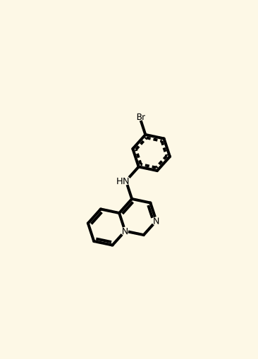 Brc1cccc(NC2=C3C=CC=CN3CN=C2)c1